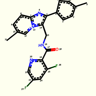 Cc1ccc(-c2nc3ccc(C)cn3c2CNC(=O)c2ncc(F)cc2F)cc1